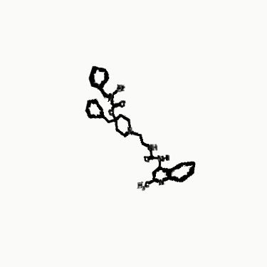 CCN(Cc1ccccc1)C(=O)OC1(Cc2ccccc2)CCN(CCNC(=O)Nc2cc(C)nc3ccccc23)CC1